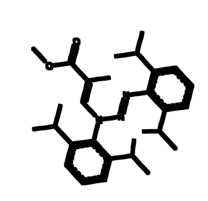 COC(=O)/C(C)=C/N(/N=N/c1c(C(C)C)cccc1C(C)C)c1c(C(C)C)cccc1C(C)C